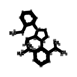 COc1ccccc1N1CCN(c2c(C(C)C)cccc2C(C)C)C1C=S